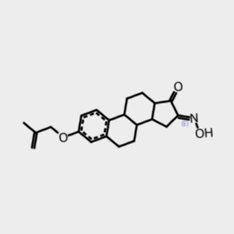 C=C(C)COc1ccc2c(c1)CCC1C2CCC2C(=O)/C(=N/O)CC21